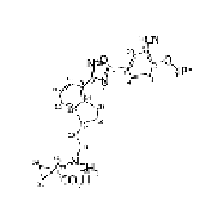 CC(C)Oc1ccc(-c2nc(-c3cccc4c3CCC4CCN(C)CC3(C(=O)O)CC3)no2)cc1C#N